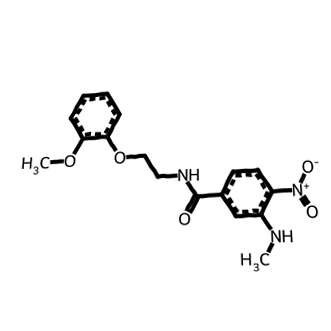 CNc1cc(C(=O)NCCOc2ccccc2OC)ccc1[N+](=O)[O-]